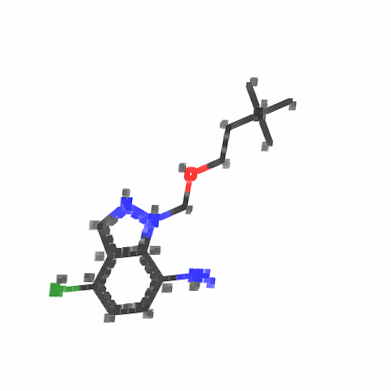 C[Si](C)(C)CCOCn1ncc2c(Br)ccc(N)c21